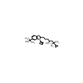 CC(C)(O)c1ccc2nc(CCCC(O)CC(C)(C)C3CC3)n(C34CC(C3)C4)c2c1